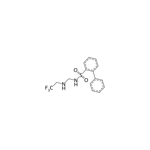 O=S(=O)(NCNCC(F)(F)F)c1ccccc1-c1ccccc1